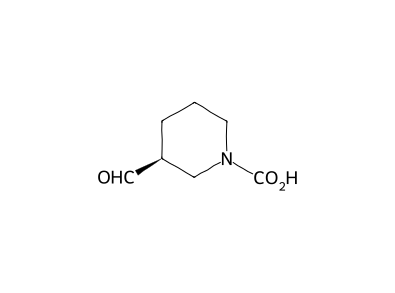 O=C[C@H]1CCCN(C(=O)O)C1